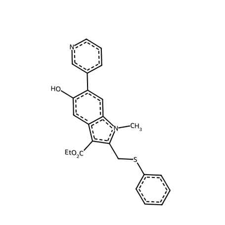 CCOC(=O)c1c(CSc2ccccc2)n(C)c2cc(-c3cccnc3)c(O)cc12